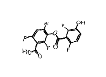 O=C(Oc1c(Br)cc(F)c(C(=O)O)c1F)c1c(F)ccc(O)c1F